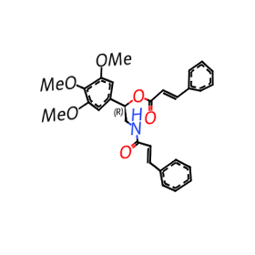 COc1cc([C@H](CNC(=O)C=Cc2ccccc2)OC(=O)C=Cc2ccccc2)cc(OC)c1OC